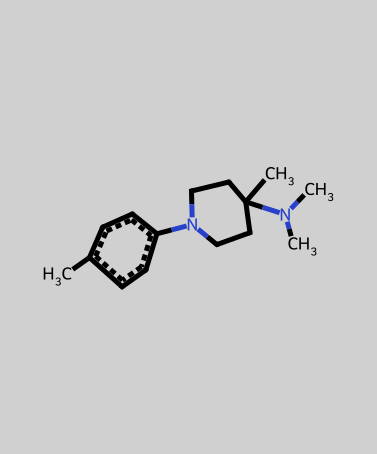 Cc1ccc(N2CCC(C)(N(C)C)CC2)cc1